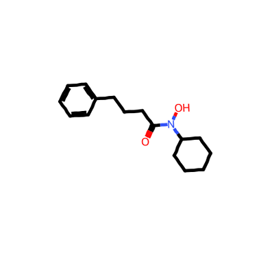 O=C(CCCc1ccccc1)N(O)C1CCCCC1